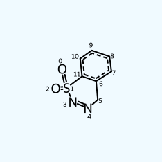 O=S1(=O)N=NCc2ccccc21